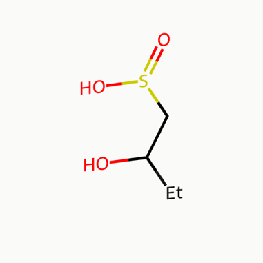 CCC(O)CS(=O)O